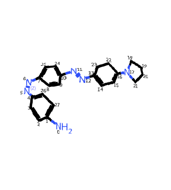 Nc1ccc(/N=N\c2ccc(N=NC3=CC=C(N4CCCC4)CC3)cc2)cc1